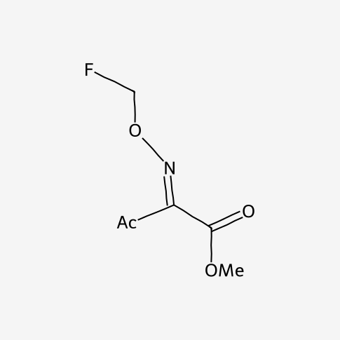 COC(=O)/C(=N/OCF)C(C)=O